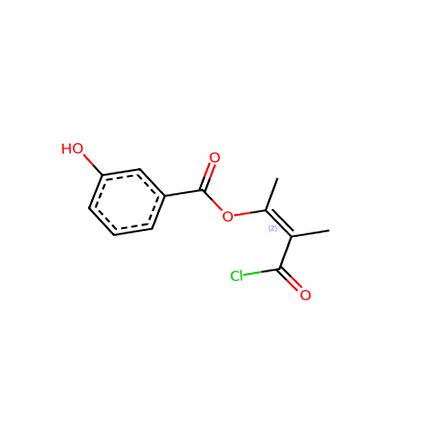 C/C(OC(=O)c1cccc(O)c1)=C(\C)C(=O)Cl